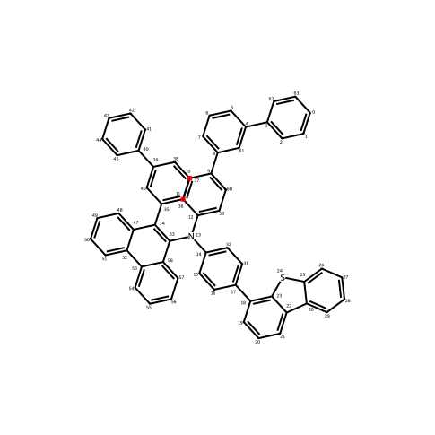 c1ccc(-c2cccc(-c3ccc(N(c4ccc(-c5cccc6c5sc5ccccc56)cc4)c4c(-c5cccc(-c6ccccc6)c5)c5ccccc5c5ccccc45)cc3)c2)cc1